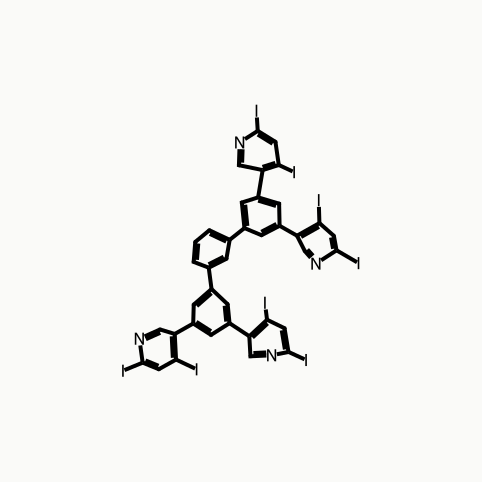 Ic1cc(I)c(-c2cc(-c3cccc(-c4cc(-c5cnc(I)cc5I)cc(-c5cnc(I)cc5I)c4)c3)cc(-c3cnc(I)cc3I)c2)cn1